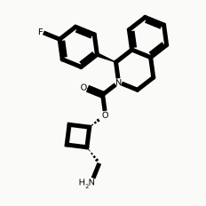 NC[C@@H]1CC[C@@H]1OC(=O)N1CCc2ccccc2[C@@H]1c1ccc(F)cc1